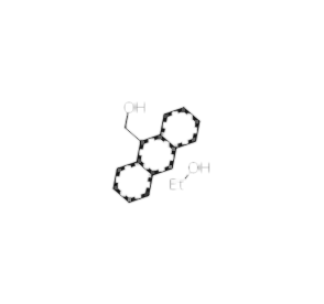 CCO.OCc1c2ccccc2cc2ccccc12